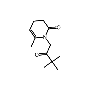 CC1=CCCC(=O)N1CC(=O)C(C)(C)C